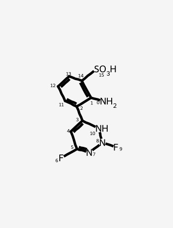 Nc1c(C2=CC(F)=NN(F)N2)cccc1S(=O)(=O)O